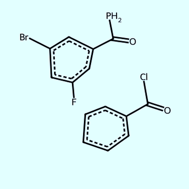 O=C(Cl)c1ccccc1.O=C(P)c1cc(F)cc(Br)c1